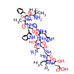 CC[C@H](C)[C@H](N)C(=O)N[C@@H](Cc1ccccc1)C(=O)N[C@@H](C)C(=O)N[C@@H](Cc1c[nH]c2ccccc12)C(=O)N1CCC[C@H]1C(=O)N[C@@H](Cc1c[nH]cn1)C(=O)N[C@@H](CC(=O)O)C(=O)N[C@@H](CC(N)=O)C(=O)NCC(=O)N[C@H](C(=O)N[C@@H](CCC(=O)O)C(=O)O)[C@@H](C)CC